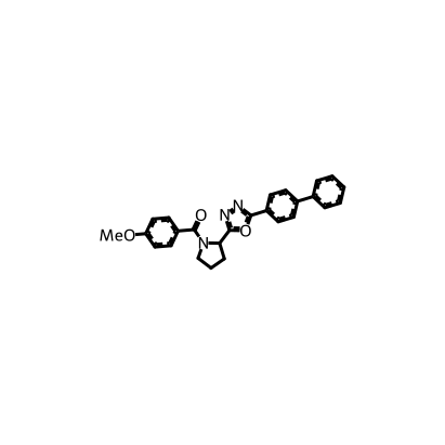 COc1ccc(C(=O)N2CCCC2c2nnc(-c3ccc(-c4ccccc4)cc3)o2)cc1